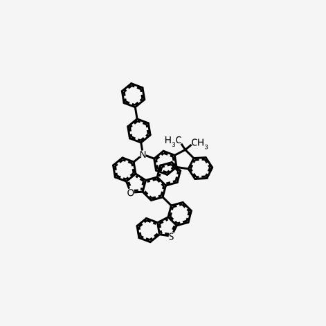 CC1(C)c2ccccc2-c2ccc(N(c3ccc(-c4ccccc4)cc3)c3cccc4oc5cc(-c6cccc7sc8ccccc8c67)c6ccccc6c5c34)cc21